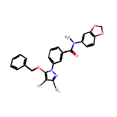 CN(C(=O)c1cccc(-n2nc(C(F)(F)F)c(Cl)c2OCc2ccccc2)c1)c1ccc2c(c1)OCO2